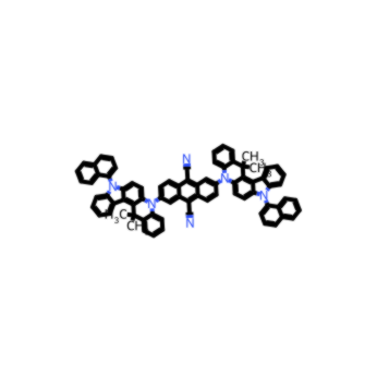 CC1(C)c2ccccc2N(c2ccc3c(C#N)c4cc(N5c6ccccc6C(C)(C)c6c5ccc5c6c6ccccc6n5-c5cccc6ccccc56)ccc4c(C#N)c3c2)c2ccc3c(c21)c1ccccc1n3-c1cccc2ccccc12